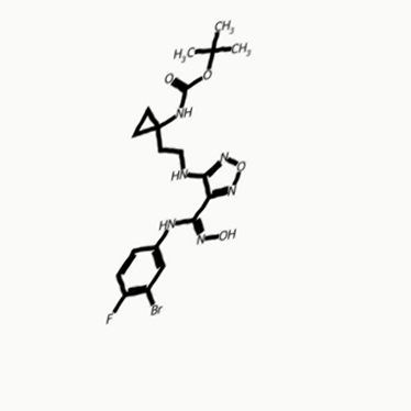 CC(C)(C)OC(=O)NC1(CCNc2nonc2C(=NO)Nc2ccc(F)c(Br)c2)CC1